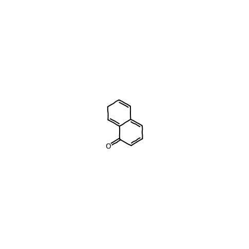 O=C1C=CC=C2C=CCC=C12